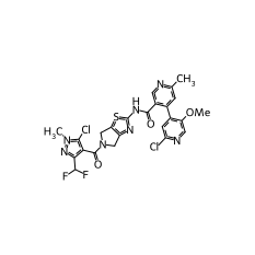 COc1cnc(Cl)cc1-c1cc(C)ncc1C(=O)Nc1nc2c(s1)CN(C(=O)c1c(C(F)F)nn(C)c1Cl)C2